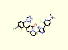 CN(C)c1ccc(-c2cnc([C@@H]3CCC4CC(c5c(-n6cnnn6)ccc(Cl)c5F)=CC(=O)N43)[nH]2)c(F)n1